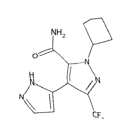 NC(=O)c1c(-c2ccn[nH]2)c(C(F)(F)F)nn1C1CCC1